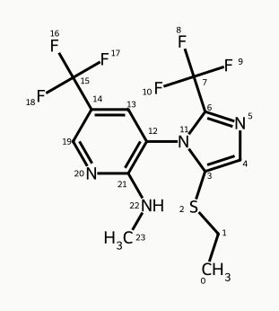 CCSc1cnc(C(F)(F)F)n1-c1cc(C(F)(F)F)cnc1NC